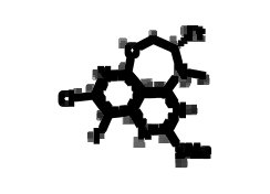 CC[C@H]1COc2nc(Cl)c(F)c3nc(SC)nc(c23)N1C